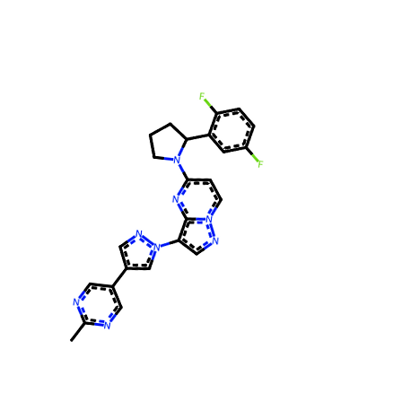 Cc1ncc(-c2cnn(-c3cnn4ccc(N5CCCC5c5cc(F)ccc5F)nc34)c2)cn1